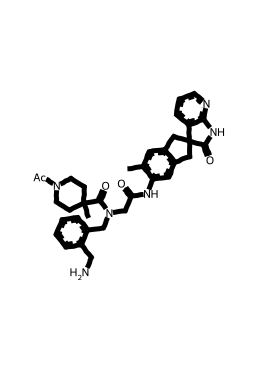 CC(=O)N1CCC(C)(C(=O)N(CC(=O)Nc2cc3c(cc2C)CC2(C3)C(=O)Nc3ncccc32)Cc2ccccc2CN)CC1